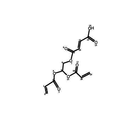 C=CC(=O)OC(COC(=O)C=CC(=O)O)OC(=O)C=C